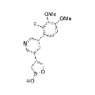 COc1ccc(-c2cncc(C3=COB(O)C3)c2)c(F)c1OC